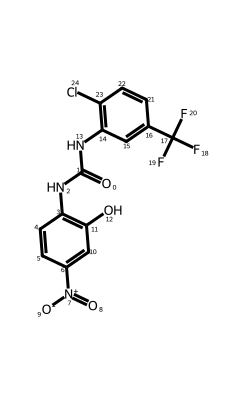 O=C(Nc1ccc([N+](=O)[O-])cc1O)Nc1cc(C(F)(F)F)ccc1Cl